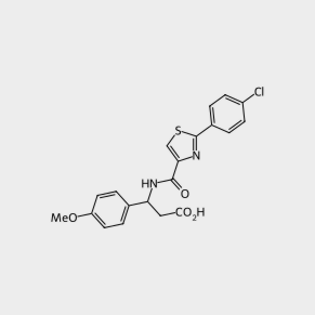 COc1ccc(C(CC(=O)O)NC(=O)c2csc(-c3ccc(Cl)cc3)n2)cc1